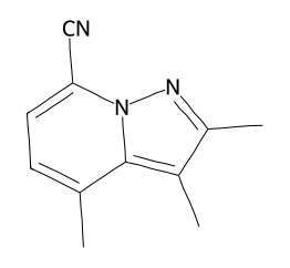 Cc1nn2c(C#N)ccc(C)c2c1C